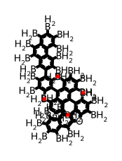 Bc1c(B)c(-c2c(B)c(B)c3c(c2B)c(B)c(B)c2c(B)c(B)c(B)c(B)c23)c(B)c(-c2c3c(B)c(B)c(B)c(B)c3c(-c3c(B)c(B)c(B)c4oc5c(B)c6c(B)c(B)c(B)c(B)c6c(B)c5c34)c3c(B)c(B)c(B)c(B)c23)c1B